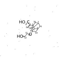 C=C(C(=O)O)C12CC3CC(CC(OCCO)(C3)C1)C2